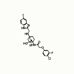 O=C(COc1ccc(Cl)c(F)c1)NC12CCC(NCc3nc4cc(F)ccc4[nH]3)(CC1)C[C@@H]2O